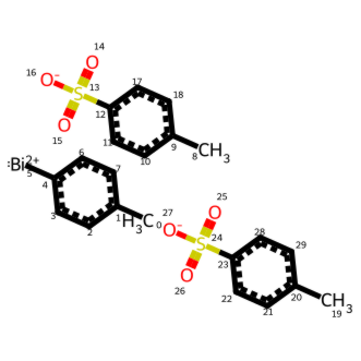 Cc1cc[c]([Bi+2])cc1.Cc1ccc(S(=O)(=O)[O-])cc1.Cc1ccc(S(=O)(=O)[O-])cc1